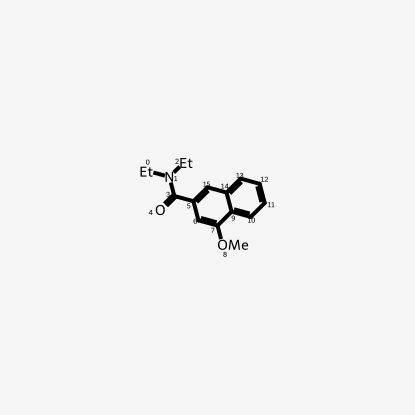 CCN(CC)C(=O)c1cc(OC)c2ccccc2c1